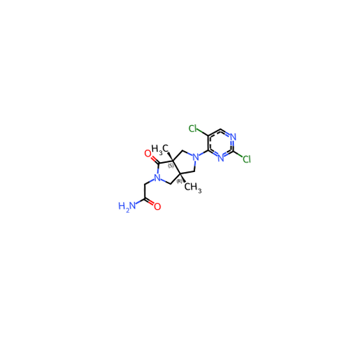 C[C@@]12CN(CC(N)=O)C(=O)[C@]1(C)CN(c1nc(Cl)ncc1Cl)C2